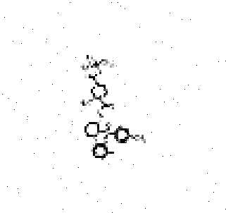 Cc1ccc(S(=O)(=O)N2[C@@H](COC(=O)N3CCN(C(=O)OC(C)(C)C)C[C@H]3C)CCC[C@H]2c2cccc(F)c2)cc1